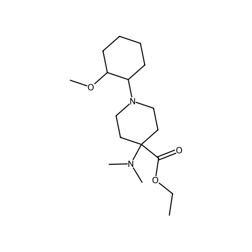 CCOC(=O)C1(N(C)C)CCN(C2CCCCC2OC)CC1